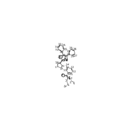 CCCN(CCC)C(=O)c1cccc(C[C@@H]2CCC[C@H]2c2nc(-c3ccccc3)c(-c3ccccc3)o2)c1